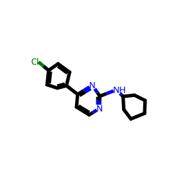 Clc1ccc(-c2ccnc(NC3CCCCC3)n2)cc1